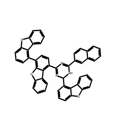 c1ccc2cc(C3=NC(c4ccc(-c5cccc6oc7ccccc7c56)c5oc6ccccc6c45)=NC(c4cccc5oc6ccccc6c45)N3)ccc2c1